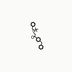 CC(C)(C)N(CCC(=O)c1ccc(Cc2ccccc2)cc1)Cc1ccccc1